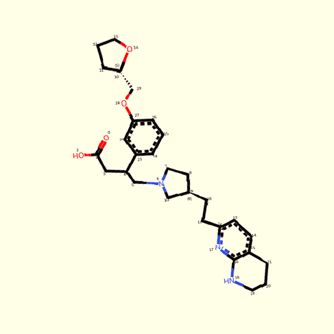 O=C(O)CC(CN1CC[C@@H](CCc2ccc3c(n2)NCCC3)C1)c1cccc(OC[C@@H]2CCCO2)c1